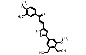 COc1ccc(C(=O)/C=C/c2cc(-c3cc(CO)c(CO)c(OC)c3)n[nH]2)cc1C